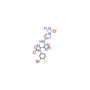 N[S+]([O-])N1CC2CC1CC2Nc1nonc1-c1noc(=O)n1-c1ccc(F)c(Br)c1